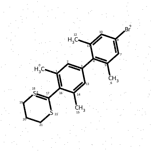 Cc1cc(-c2c(C)cc(Br)cc2C)cc(C)c1C1=[S+]CCCS1